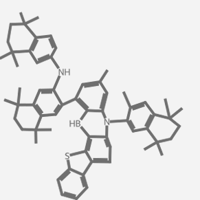 Cc1cc(-c2cc3c(cc2Nc2ccc4c(c2)C(C)(C)CCC4(C)C)C(C)(C)CCC3(C)C)c2c(c1)N(c1cc3c(cc1C)C(C)(C)CCC3(C)C)c1ccc3c(sc4ccccc43)c1B2